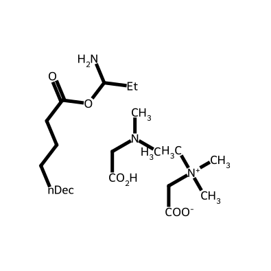 CCCCCCCCCCCCCC(=O)OC(N)CC.CN(C)CC(=O)O.C[N+](C)(C)CC(=O)[O-]